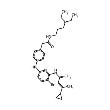 C=C(/C=C(\C)C1CC1)Nc1nc(Nc2ccc(CC(=O)NCCCN(CC)CC)cc2)ncc1Br